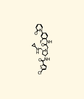 O=C(CN1C[C@H](NC(=O)c2ccc(Cl)s2)C[C@H]1CNC1CC1)Nc1ccc(-n2ccccc2=O)cc1F